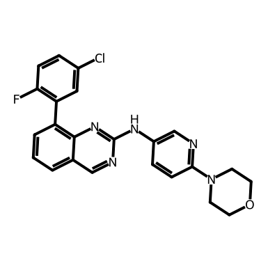 Fc1ccc(Cl)cc1-c1cccc2cnc(Nc3ccc(N4CCOCC4)nc3)nc12